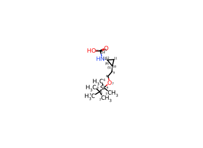 CC(C)(C)[Si](C)(C)OCC[C@@H]1C[C@H]1NC(=O)O